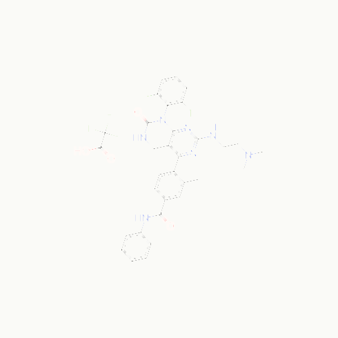 Cc1cc(C(=O)Nc2ccccc2)ccc1-c1nc(NCCN(C)C)nc2c1CNC(=O)N2c1c(F)cccc1F.O=C(O)C(F)(F)F